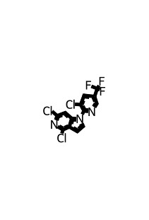 FC(F)(F)c1cnc(-n2ccc3c(Cl)nc(Cl)cc32)c(Cl)c1